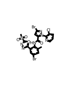 Cc1cc(Br)cc(-c2nnc(S(C)(=O)=O)o2)c1NC(=O)c1cc(Br)nn1-c1ncccc1Cl